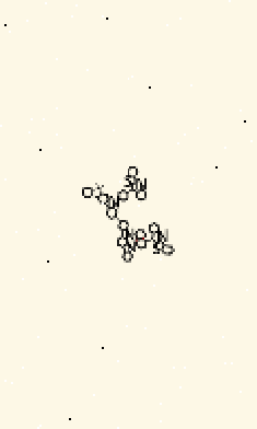 CC1(C)c2ccccc2-c2cc3c4ccc(-c5ccc6c(c5)c5ccc7c8ccccc8n(-c8ccc(-c9c%10ccccc%10nc%10c9sc9ccccc9%10)cc8)c7c5n6-c5ccccc5)cc4n(-c4ccc(-c5c6ccccc6nc6c5sc5ccccc56)cc4)c3cc21